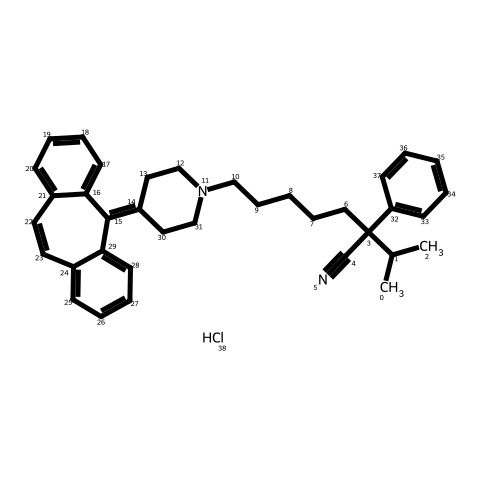 CC(C)C(C#N)(CCCCCN1CCC(=C2c3ccccc3C=Cc3ccccc32)CC1)c1ccccc1.Cl